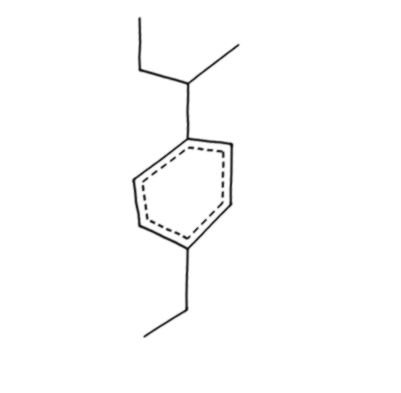 CCc1ccc(C(C)CC)cc1